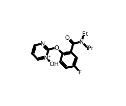 CCN(C(=O)c1cc(F)ccc1Oc1nccc[n+]1O)C(C)C